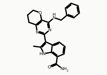 Cc1[nH]c2c(C(N)=O)cccc2c1-c1nc2c(c(NCc3ccccc3)n1)OCCC2